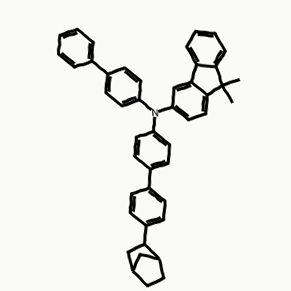 CC1(C)c2ccccc2-c2cc(N(c3ccc(-c4ccccc4)cc3)c3ccc(-c4ccc(C5CC6CCC5C6)cc4)cc3)ccc21